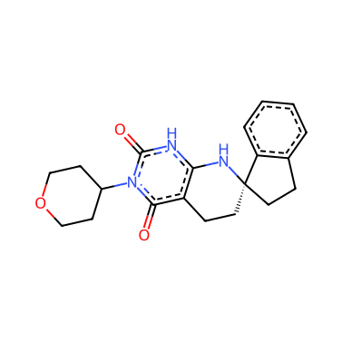 O=c1[nH]c2c(c(=O)n1C1CCOCC1)CC[C@]1(CCc3ccccc31)N2